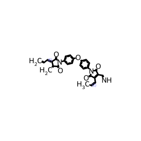 C=C/C=C1\C(=C)C(=O)N(c2ccc(Oc3ccc(N4C(=O)C(C=N)=C(/C=C\C)C4=O)cc3)cc2)C1=O